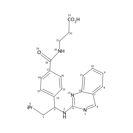 CC(C)CC(Nc1ncc2ccccc2n1)c1ccc(C(=O)NCCC(=O)O)cc1